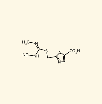 C/N=C(\NC#N)SCc1ncc(C(=O)O)s1